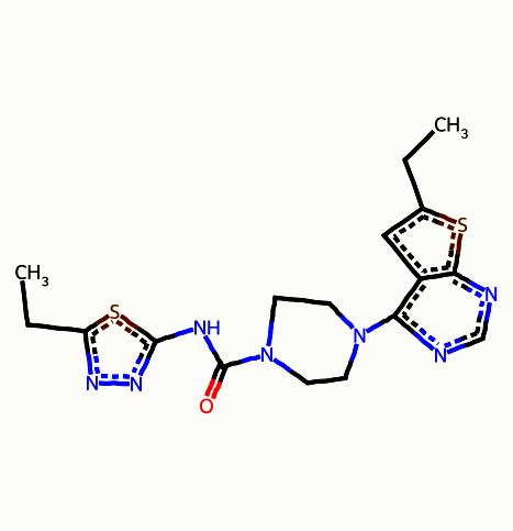 CCc1cc2c(N3CCN(C(=O)Nc4nnc(CC)s4)CC3)ncnc2s1